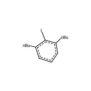 CCCCc1cccc(CCCC)c1I